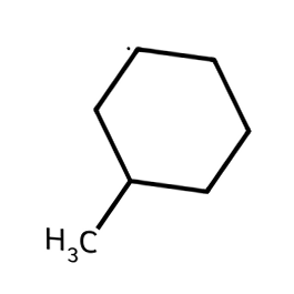 CC1C[CH]CCC1